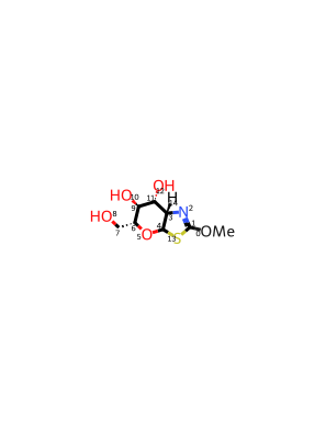 COC1=N[C@@H]2C(O[C@H](CO)[C@@H](O)[C@@H]2O)S1